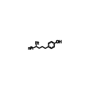 CCCC(CC)CCCc1ccc(O)cc1